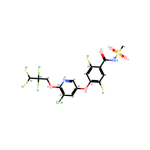 CS(=O)(=O)NC(=O)c1cc(F)c(Oc2cnc(OCC(F)(F)C(F)F)c(Cl)c2)cc1F